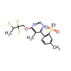 CCS(=O)(=O)c1cc(C)ccc1-c1ncnc(OCC(F)(F)C(C)F)c1C